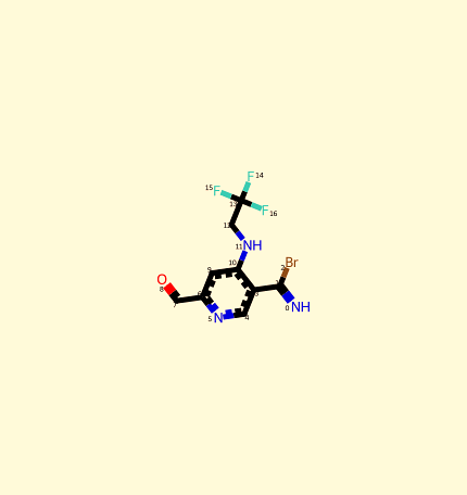 N=C(Br)c1cnc(C=O)cc1NCC(F)(F)F